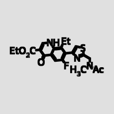 CCOC(=O)c1c[nH]c2c(CC)c(-c3csc(CN(C)C(C)=O)n3)c(F)cc2c1=O